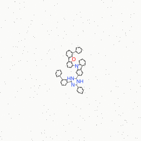 c1ccc(-c2cccc(C3=NC(c4ccccc4)NC(c4ccc5c6ccccc6n(-c6cccc7c6oc6c(-c8ccccc8)cccc67)c5c4)N3)c2)cc1